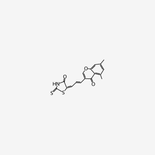 Cc1cc(C)c2c(=O)c(C=CC=C3SC(=S)NC3=O)coc2c1